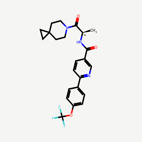 C[C@@H](NC(=O)c1ccc(-c2ccc(OC(F)(F)F)cc2)nc1)C(=O)N1CCC2(CC1)CC2